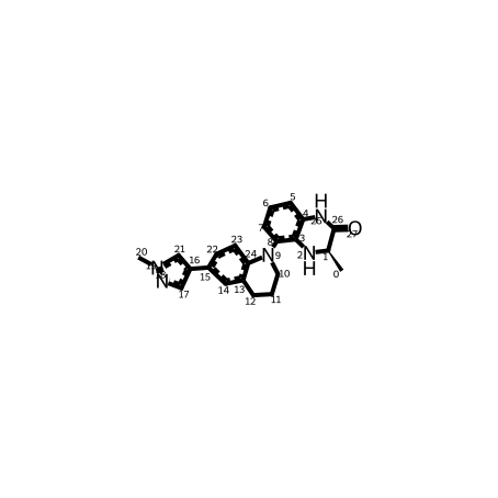 C[C@H]1Nc2c(cccc2N2CCCc3cc(-c4cnn(C)c4)ccc32)NC1=O